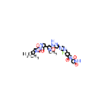 Cn1cc(-c2ccnc(N3CCn4c(cc5c4CC(C)(C)C5)C3=O)c2CO)cc(Nc2ccc(N3CCN(Cc4cc5c(cc4F)C(=O)N(C4CCC(=O)NC4=O)C5)CC3)cn2)c1=O